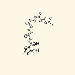 C/C(=C\CCC(=O)OCC(O)C1OCCC1O)CCCC(C)CCCC(C)C